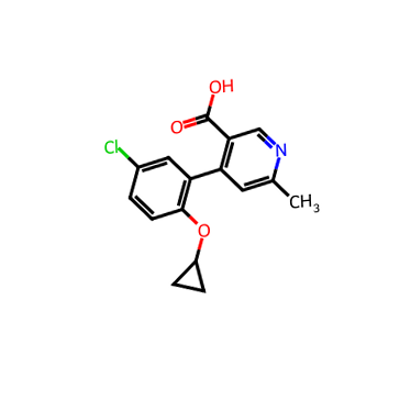 Cc1cc(-c2cc(Cl)ccc2OC2CC2)c(C(=O)O)cn1